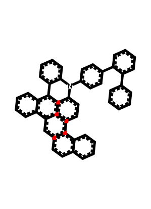 c1ccc(-c2ccccc2-c2ccc(N(c3ccc(-c4cccc5ccccc45)cc3)c3ccccc3-c3cc4ccccc4c4ccccc34)cc2)cc1